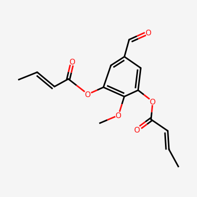 CC=CC(=O)Oc1cc(C=O)cc(OC(=O)C=CC)c1OC